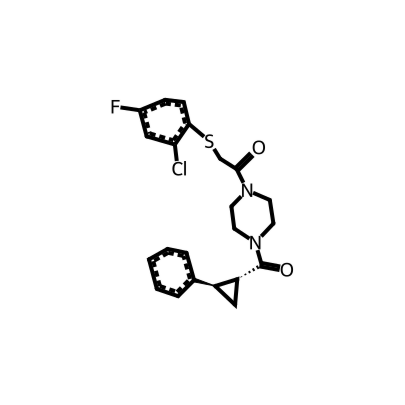 O=C(CSc1ccc(F)cc1Cl)N1CCN(C(=O)[C@@H]2C[C@H]2c2ccccc2)CC1